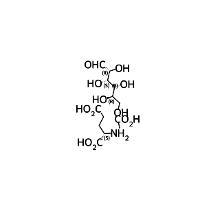 CC(=O)O.N[C@@H](CCC(=O)O)C(=O)O.O=C[C@H](O)[C@@H](O)[C@H](O)[C@H](O)CO